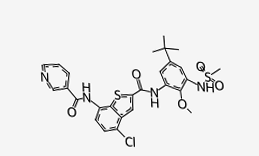 COc1c(NC(=O)c2cc3c(Cl)ccc(NC(=O)c4cccnc4)c3s2)cc(C(C)(C)C)cc1NS(C)(=O)=O